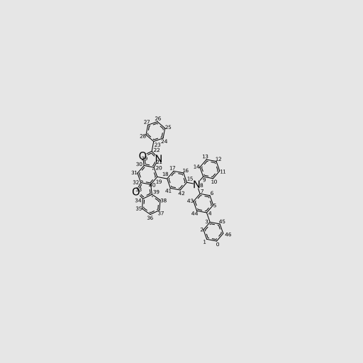 c1ccc(-c2ccc(N(c3ccccc3)c3ccc(-c4c5nc(-c6ccccc6)oc5cc5oc6ccccc6c45)cc3)cc2)cc1